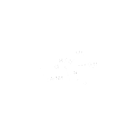 C=C(C)C(C(=O)O)N1C(=O)CC1(NC(C)=O)[S+]([O-])Cl.c1cc2cc-2c1